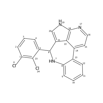 Clc1cccc(C2Nc3ccccc3-c3ccnc4[nH]cc2c34)c1Cl